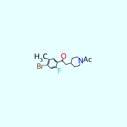 CC(=O)N1CCC(CC(=O)c2cc(C)c(Br)cc2F)CC1